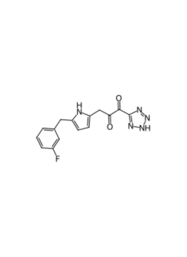 O=C(Cc1ccc(Cc2cccc(F)c2)[nH]1)C(=O)c1nn[nH]n1